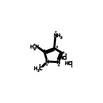 Cl.Cl.Cn1ncc(N)c1N